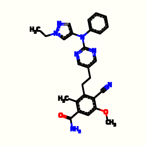 CCn1cc(N(c2ccccc2)c2ncc(CCc3c(C)c(C(N)=O)cc(OC)c3C#N)cn2)cn1